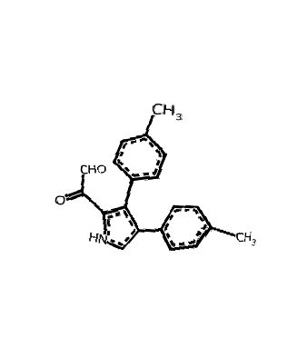 Cc1ccc(-c2c[nH]c(C(=O)C=O)c2-c2ccc(C)cc2)cc1